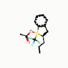 CCCC1=Cc2ccccc2S1(OC(C)=O)C(F)(F)F